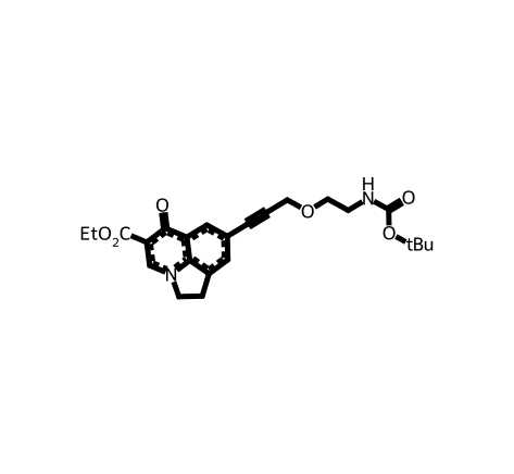 CCOC(=O)c1cn2c3c(cc(C#CCOCCNC(=O)OC(C)(C)C)cc3c1=O)CC2